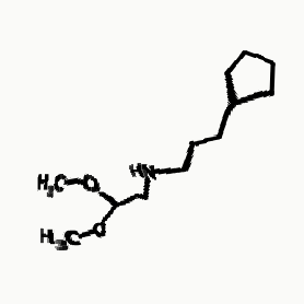 COC(CNCCCC1CCCC1)OC